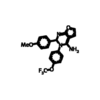 COc1ccc(C2N=c3occc3=C(N)N2c2ccc(OC(F)(F)F)cc2)cc1